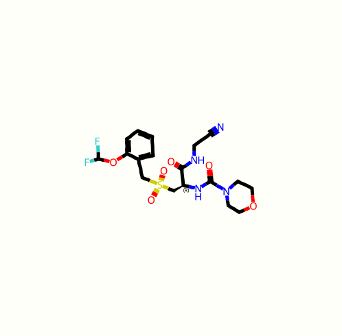 N#CCNC(=O)[C@H](CS(=O)(=O)Cc1ccccc1OC(F)F)NC(=O)N1CCOCC1